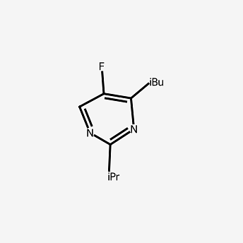 CCC(C)c1nc(C(C)C)ncc1F